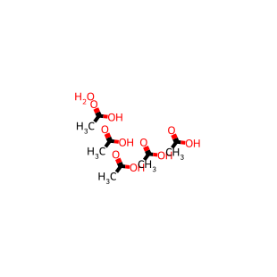 CC(=O)O.CC(=O)O.CC(=O)O.CC(=O)O.CC(=O)O.O